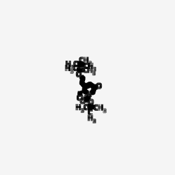 CC[C@@H]1C(CCO[Si](C)(C)C(C)(C)C)=CC(=O)CN1C(=O)OC(C)(C)C